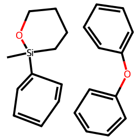 C[Si]1(c2ccccc2)CCCCO1.c1ccc(Oc2ccccc2)cc1